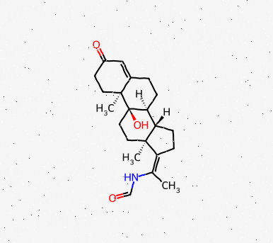 CC(NC=O)=C1CC[C@H]2[C@@H]3CCC4=CC(=O)CC[C@]4(C)[C@@]3(O)CC[C@]12C